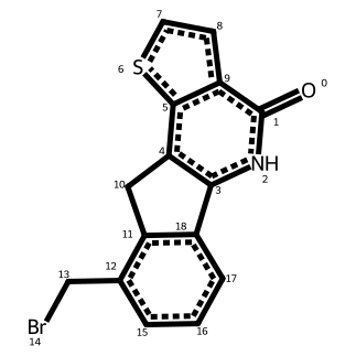 O=c1[nH]c2c(c3sccc13)Cc1c(CBr)cccc1-2